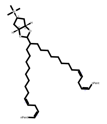 CCCCC/C=C\C/C=C\CCCCCCCCC(CCCCCCCC/C=C\C/C=C\CCCCC)C1O[C@H]2C[C@H]([N+](C)(C)C)C[C@H]2O1